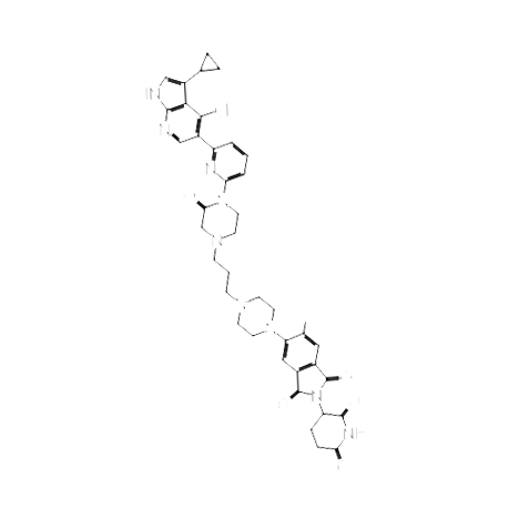 O=C1CCC(N2C(=O)c3cc(F)c(N4CCN(CCCN5CCN(c6cccc(-c7cnc8[nH]cc(C9CC9)c8c7Cl)n6)C(=O)C5)CC4)cc3C2=O)C(=O)N1